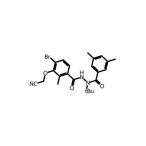 Cc1cc(C)cc(C(=O)N(NC(=O)c2ccc(Br)c(OCC#N)c2C)C(C)(C)C)c1